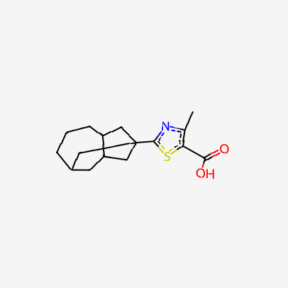 Cc1nc(C23CC4CCCC(C2)C(C4)C3)sc1C(=O)O